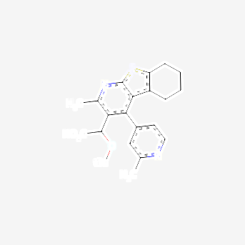 Cc1cc(-c2c(C(OC(C)(C)C)C(=O)O)c(C)nc3sc4c(c23)CCCC4)ccn1